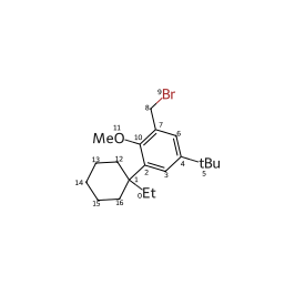 CCC1(c2cc(C(C)(C)C)cc(CBr)c2OC)CCCCC1